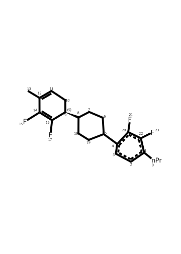 CCCc1ccc(C2CCC([C@@H]3CC=C(C)C(F)=C3F)CC2)c(F)c1F